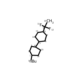 CCCCC1CCC(C2CCC(C(C)(F)F)CC2)CC1